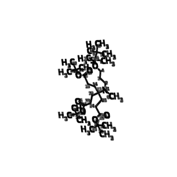 CN(CCCO[Si](C)(C)C(C)(C)C)C(CCC(=O)OC(C)(C)C)(CCC(=O)OC(C)(C)C)CCC(=O)OC(C)(C)C